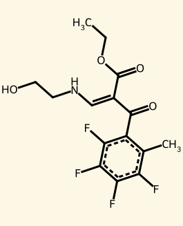 CCOC(=O)C(=CNCCO)C(=O)c1c(C)c(F)c(F)c(F)c1F